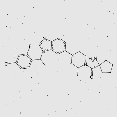 CC1CN(c2ccc3ncn(C(C)c4ccc(Cl)cc4F)c3c2)CCN1C(=O)C1(N)CCCC1